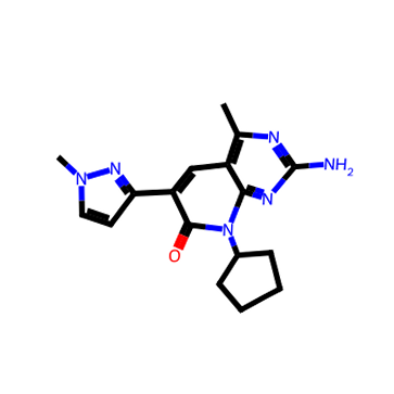 Cc1nc(N)nc2c1cc(-c1ccn(C)n1)c(=O)n2C1CCCC1